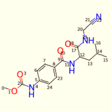 COC(=O)Nc1ccc(C(=O)NC(CC(C)C)C(=O)NCC#N)cc1